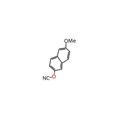 COc1ccc2cc(OC#N)ccc2c1